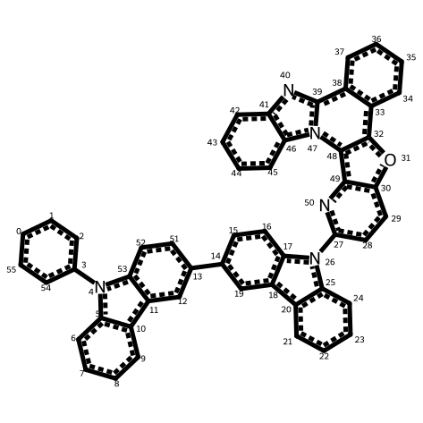 c1ccc(-n2c3ccccc3c3cc(-c4ccc5c(c4)c4ccccc4n5-c4ccc5oc6c7ccccc7c7nc8ccccc8n7c6c5n4)ccc32)cc1